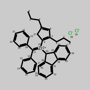 CCCC1=CC(CCC)=[C]([Zr+2](=[C](c2ccccc2)c2ccccc2)[CH]2c3ccccc3-c3ccccc32)C1.[Cl-].[Cl-]